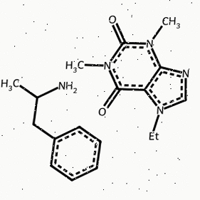 CC(N)Cc1ccccc1.CCn1cnc2c1c(=O)n(C)c(=O)n2C